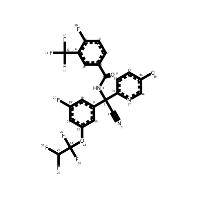 N#CC(NC(=O)c1ccc(F)c(C(F)(F)F)c1)(c1cc(F)cc(OC(F)(F)C(F)F)c1)c1ccc(Cl)cn1